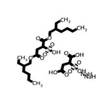 CCCCC(CC)COC(=O)CC(C(=O)OCC(CC)CCCC)S(=O)(=O)O.O=C(O)CC(C(=O)O)S(=O)(=O)O.[NaH].[NaH]